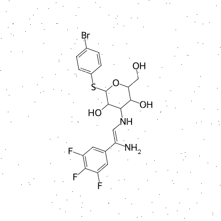 N/C(=C\NC1C(O)C(CO)OC(Sc2ccc(Br)cc2)C1O)c1cc(F)c(F)c(F)c1